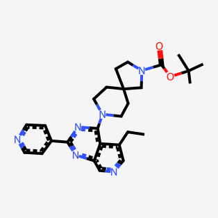 CCc1cncc2nc(-c3ccncc3)nc(N3CCC4(CCN(C(=O)OC(C)(C)C)C4)CC3)c12